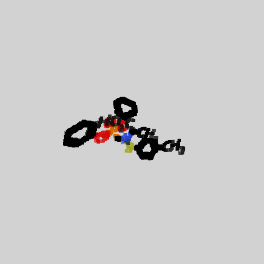 Cc1ccc(SN(CP(=O)(Oc2ccccc2)Oc2ccccc2)C(C)C(=O)O)cc1